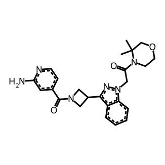 CC1(C)COCCN1C(=O)Cn1nc(C2CN(C(=O)c3ccnc(N)c3)C2)c2ccccc21